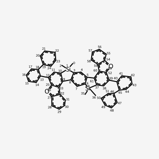 C[Si]1(C)c2cc3c(cc2-c2c1cc(-c1ccccc1-c1ccccc1)c1oc4ccccc4c21)[Si](C)(C)c1cc(-c2ccccc2-c2ccccc2)c2oc4ccccc4c2c1-3